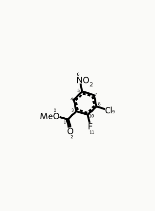 COC(=O)c1cc([N+](=O)[O-])cc(Cl)c1F